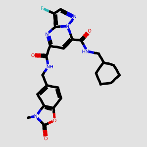 Cn1c(=O)oc2ccc(CNC(=O)c3cc(C(=O)NCC4CCCCC4)n4ncc(F)c4n3)cc21